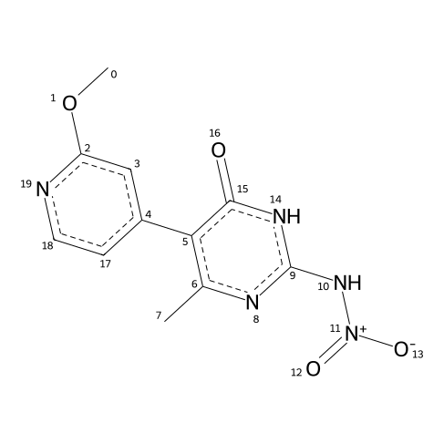 COc1cc(-c2c(C)nc(N[N+](=O)[O-])[nH]c2=O)ccn1